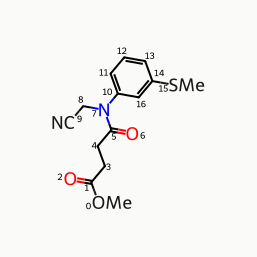 COC(=O)CCC(=O)N(CC#N)c1cccc(SC)c1